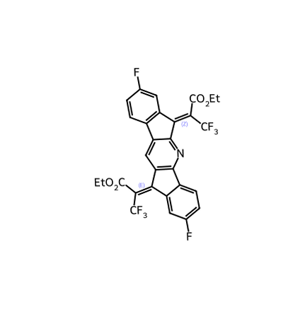 CCOC(=O)/C(=C1\c2cc(F)ccc2-c2cc3c(nc21)-c1ccc(F)cc1/C3=C(/C(=O)OCC)C(F)(F)F)C(F)(F)F